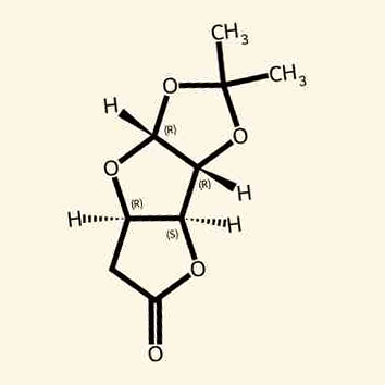 CC1(C)O[C@H]2O[C@@H]3CC(=O)O[C@@H]3[C@H]2O1